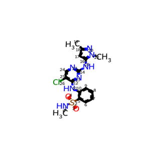 CNS(=O)(=O)c1ccccc1Nc1nc(Nc2cc(C)nn2C)ncc1Cl